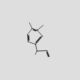 C=C[C](C)c1ccc(I)c(C)c1